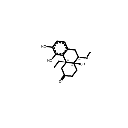 CC[C@]12CC(=O)CC[C@@]1(O)[C@H](NC)Cc1ccc(O)c(O)c12